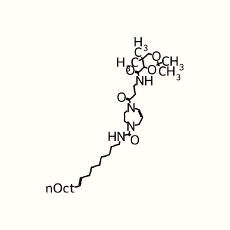 CCCCCCCCC=CCCCCCCCNC(=O)N1CC=CN(C(=O)CCNC(=O)C2OC(C)(C)OCC2(C)C)CC1